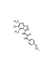 Cc1nc2onc(NC(=O)Nc3ccc(OC(F)(F)F)cc3)c2c(C)c1Cl